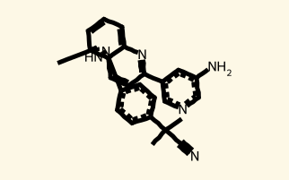 CC1NN(c2ccc(C(C)(C)C#N)cc2)C23C=CC(c4cncc(N)c4)=NC2=CC=CC13